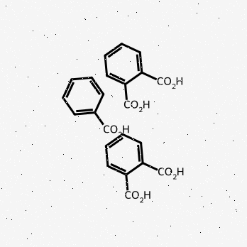 O=C(O)c1ccccc1.O=C(O)c1ccccc1C(=O)O.O=C(O)c1ccccc1C(=O)O